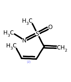 C=C(/C=C\C)S(C)(=O)=NC